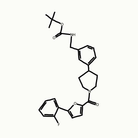 CC(C)(C)OC(=O)NCc1cccc(C2CCN(C(=O)c3ccc(-c4ccccc4F)o3)CC2)c1